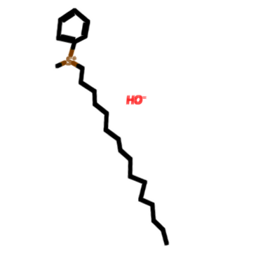 CCCCCCCCCCCCCCCC[S+](C)c1ccccc1.[OH-]